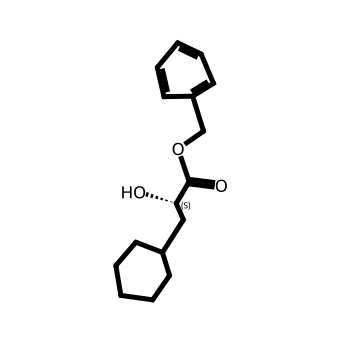 O=C(OCc1ccccc1)[C@@H](O)CC1CCCCC1